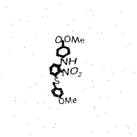 COC(=O)C1CCC(Nc2cccc(SCc3ccc(OC)cc3)c2[N+](=O)[O-])CC1